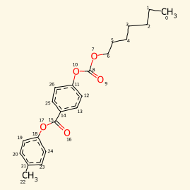 CCCCCCCOC(=O)Oc1ccc(C(=O)Oc2ccc(C)cc2)cc1